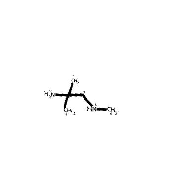 [CH2]NCC(C)(C)N